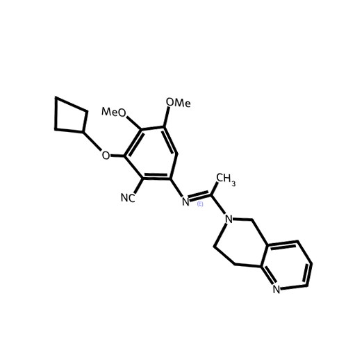 COc1cc(/N=C(\C)N2CCc3ncccc3C2)c(C#N)c(OC2CCC2)c1OC